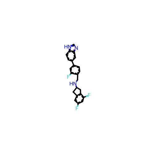 Fc1cc(F)c2c(c1)CC(NCc1ccc(-c3ccc4[nH]cnc4c3)cc1F)C2